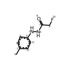 Cc1ccc(NNC(=O)CF)cc1